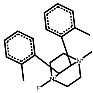 Cc1ccccc1C1C(c2ccccc2C)[N+]2(F)CC[N+]1(C)CC2